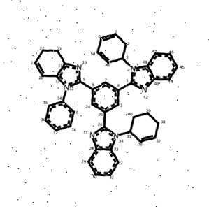 C1=CCC(n2c(-c3cc(-c4nc5c(n4-c4ccccc4)C=CCC5)cc(-c4nc5ccccc5n4C4C=CCCC4)c3)nc3ccccc32)C=C1